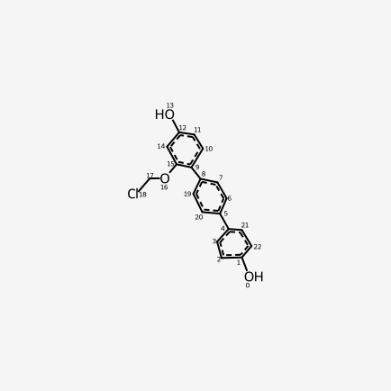 Oc1ccc(-c2ccc(-c3ccc(O)cc3OCCl)cc2)cc1